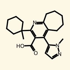 Cn1nccc1-c1c2c(nc(C3(C)CCCCC3)c1C(=O)O)CCCCC2